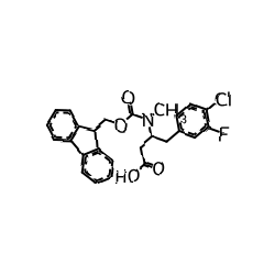 CN(C(=O)OCC1c2ccccc2-c2ccccc21)C(CC(=O)O)Cc1ccc(Cl)c(F)c1